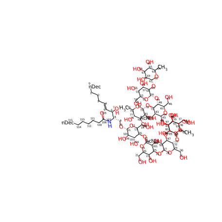 CCCCCCCCCCCCC/C=C/[C@@H](O)[C@H](CO[C@@H]1OC(CO)[C@@H](O[C@@H]2OC(CO)[C@H](O)[C@H](O[C@@H]3OC(CO)[C@@H](O[C@@H]4OC(CO)[C@H](O)[C@H](O[C@@H]5OC(CO)[C@@H](O[C@@H]6OC(CO)[C@H](O)[C@H](O)C6O[C@H]6OC(C)[C@@H](O)C(O)[C@@H]6O)[C@H](O[C@H]6OC(C)[C@@H](O)C(O)[C@@H]6O)C5NC(C)=O)C4O)[C@H](O[C@H]4OC(C)[C@@H](O)C(O)[C@@H]4O)C3NC(C)=O)C2O)[C@H](O)C1O)NC(=O)CCCCCCCCCCCCCCC